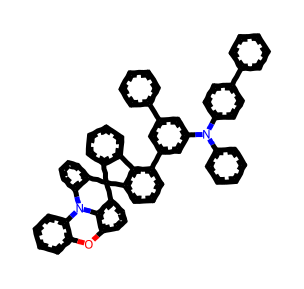 c1ccc(-c2ccc(N(c3ccccc3)c3cc(-c4ccccc4)cc(-c4cccc5c4-c4ccccc4C54c5ccccc5N5c6ccccc6Oc6cccc4c65)c3)cc2)cc1